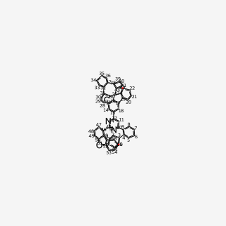 c1ccc(-c2ccccc2-c2cc(-c3ccc4c(c3)-c3ccccc3C43c4ccccc4-c4ccccc4-c4ccccc43)nc(-c3cccc4oc5ccccc5c34)n2)cc1